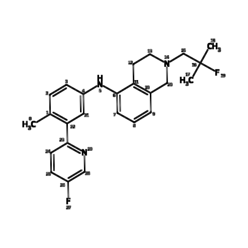 Cc1ccc(Nc2cccc3c2CCN(CC(C)(C)F)C3)cc1-c1ccc(F)cn1